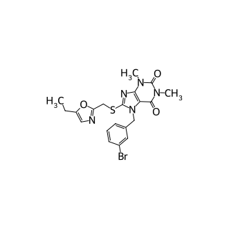 CCc1cnc(CSc2nc3c(c(=O)n(C)c(=O)n3C)n2Cc2cccc(Br)c2)o1